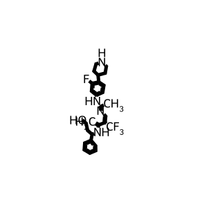 C=C(NC(CCO)c1ccccc1)/C(=C\N=C(/C)Nc1ccc(C2CCNCC2)c(F)c1)C(F)(F)F